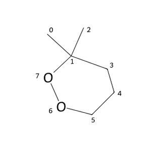 CC1(C)CCCOO1